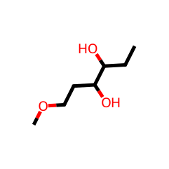 CCC(O)C(O)CCOC